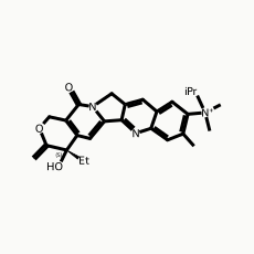 C=C1OCc2c(cc3n(c2=O)Cc2cc4cc([N+](C)(C)C(C)C)c(C)cc4nc2-3)[C@@]1(O)CC